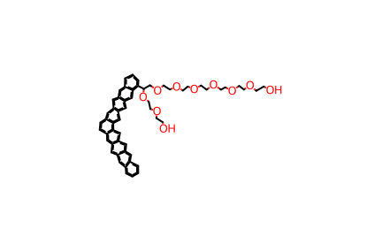 OCCOCCOCCOCCOCCOCCOCC(OCCOCCO)c1cccc2cc3cc4cc5ccc6cc7cc8cc9ccccc9cc8cc7cc6c5cc4cc3cc12